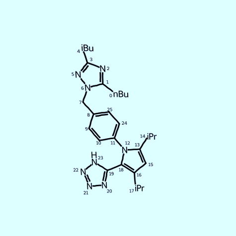 CCCCc1nc(C(C)CC)nn1Cc1ccc(-n2c(C(C)C)cc(C(C)C)c2-c2nnn[nH]2)cc1